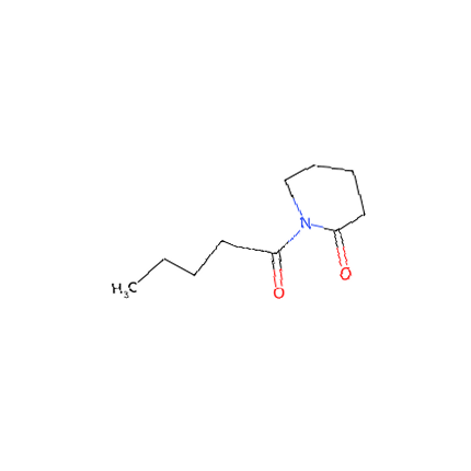 CCCCC(=O)N1CCCCC1=O